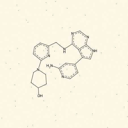 Nc1cc(-c2c[nH]c3ncnc(NCc4cccc(N5CCC(O)CC5)n4)c23)ccn1